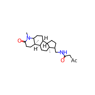 CC(=O)CC(=O)NCC1CC[C@H]2[C@@H]3CCC4N(C)C(=O)CC[C@]4(C)[C@@H]3CC[C@]12C